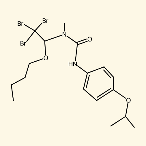 CCCCOC(N(C)C(=O)Nc1ccc(OC(C)C)cc1)C(Br)(Br)Br